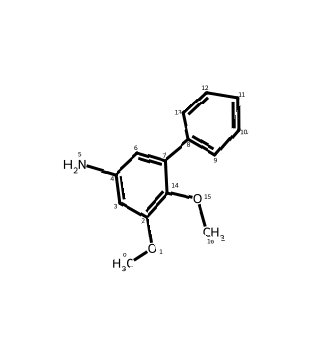 COc1cc(N)cc(-c2ccccc2)c1OC